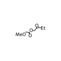 CCC1OC1COC(=O)COC